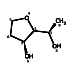 C[C@@H](O)C1OCC[C@@H]1O